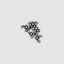 COc1cc(C=O)ccc1OP(Oc1ccc(C=O)cc1OC)Oc1cccc2c1C(=O)c1c(cccc1OP(Oc1ccc(C=O)cc1OC)Oc1ccc(C=O)cc1OC)C2